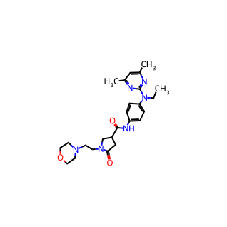 CCN(c1ccc(NC(=O)C2CC(=O)N(CCN3CCOCC3)C2)cc1)c1nc(C)cc(C)n1